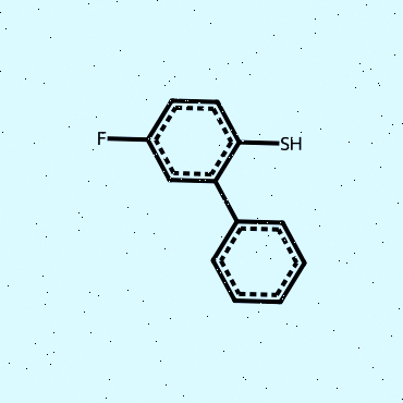 Fc1ccc(S)c(-c2ccccc2)c1